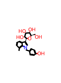 Cc1cccc2c([C@@H]3O[C@H](CO)[C@@H](O)[C@H](O)[C@H]3O)cn(Cc3ccc(O)cc3)c12